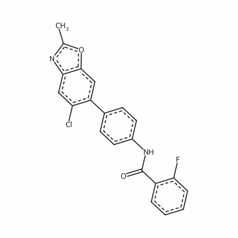 Cc1nc2cc(Cl)c(-c3ccc(NC(=O)c4ccccc4F)cc3)cc2o1